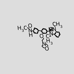 CCNc1ccccc1N(CC)C(=O)c1ccc(-c2ccc(NC(C)=O)cc2)c(OCCN2CCOCC2)c1